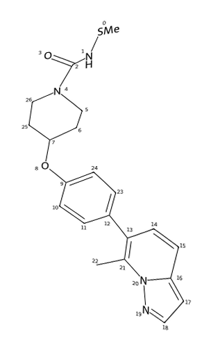 CSNC(=O)N1CCC(Oc2ccc(-c3ccc4ccnn4c3C)cc2)CC1